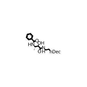 CCCCCCCCCCCCNC(=O)[C@H](O)[C@H](C)NC(=O)c1ccccc1